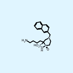 NCCCCC1(C(=O)O)CN(Cc2ccc3ccccc3c2)CCP1(=O)O